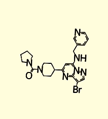 O=C(N1CCCC1)N1CCC(c2cc(NCc3cccnc3)n3ncc(Br)c3n2)CC1